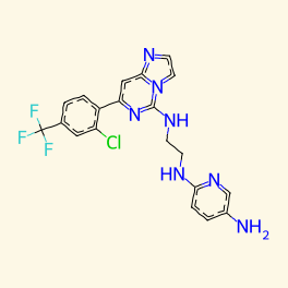 Nc1ccc(NCCNc2nc(-c3ccc(C(F)(F)F)cc3Cl)cc3nccn23)nc1